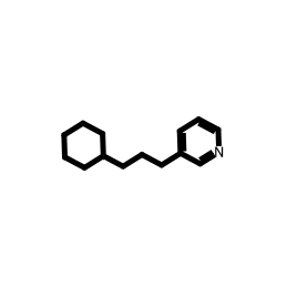 c1cncc(CCC[C]2CCCCC2)c1